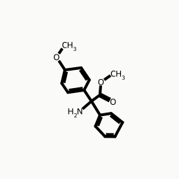 COC(=O)C(N)(c1ccccc1)c1ccc(OC)cc1